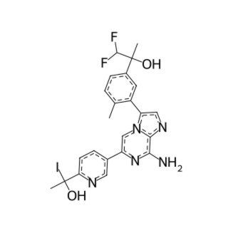 Cc1ccc(C(C)(O)C(F)F)cc1-c1cnc2c(N)nc(-c3ccc(C(C)(O)I)nc3)cn12